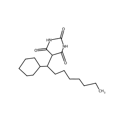 CCCCCCCC(C1CCCCC1)C1C(=O)NC(=O)NC1=O